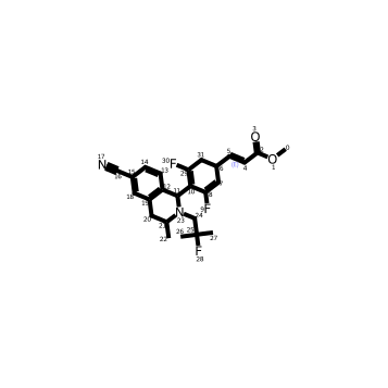 COC(=O)/C=C/C1C=C(F)C(C2c3ccc(C#N)cc3CC(C)N2CC(C)(C)F)=C(F)C1